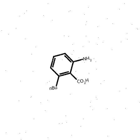 CCCCc1cccc(N)c1C(=O)O